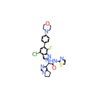 O=C(Nc1nccs1)C(c1ncn2c1CCC2)n1cc2c(Cl)cc(-c3ccc(N4CCOCC4)cc3)c(F)c2n1